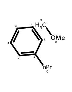 CCCc1ccccc1.COC